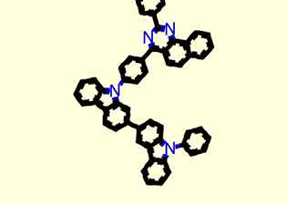 c1ccc(-c2nc(-c3ccc(-n4c5ccccc5c5ccc(-c6ccc7c(c6)c6ccccc6n7-c6ccccc6)cc54)cc3)c3ccc4ccccc4c3n2)cc1